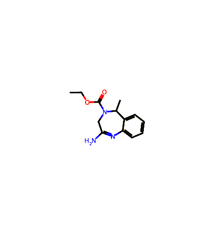 CCOC(=O)N1CC(N)=Nc2ccccc2C1C